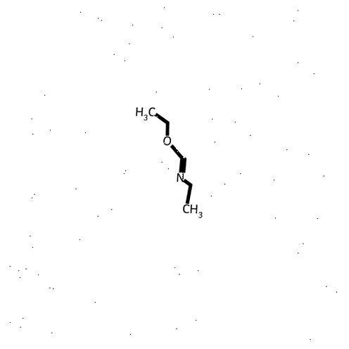 CC/N=[C]/OCC